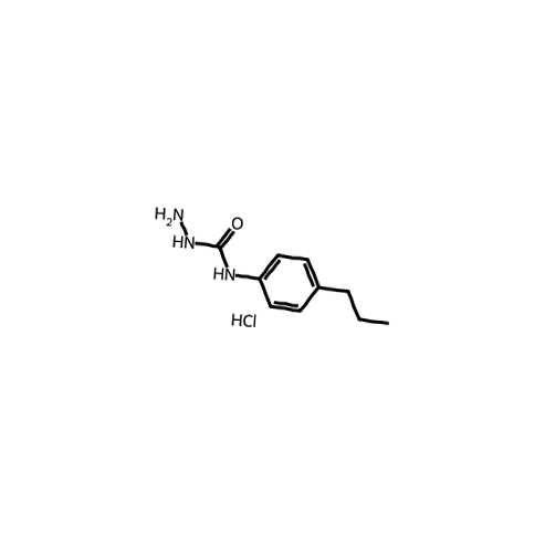 CCCc1ccc(NC(=O)NN)cc1.Cl